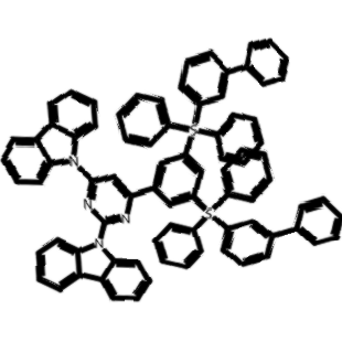 c1ccc(-c2cccc(S(c3ccccc3)(c3ccccc3)c3cc(-c4cc(-n5c6ccccc6c6ccccc65)nc(-n5c6ccccc6c6ccccc65)n4)cc(S(c4ccccc4)(c4ccccc4)c4cccc(-c5ccccc5)c4)c3)c2)cc1